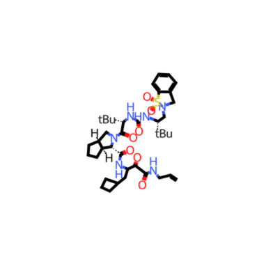 C=CCNC(=O)C(=O)C(CC1CCC1)NC(=O)[C@@H]1[C@H]2CCC[C@H]2CN1C(=O)[C@@H](NC(=O)N[C@H](CN1Cc2ccccc2S1(=O)=O)C(C)(C)C)C(C)(C)C